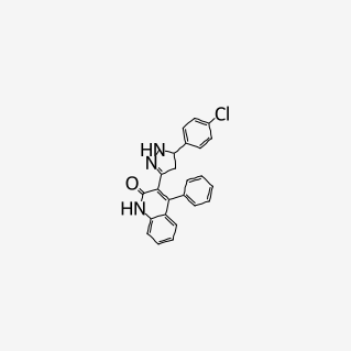 O=c1[nH]c2ccccc2c(-c2ccccc2)c1C1=NNC(c2ccc(Cl)cc2)C1